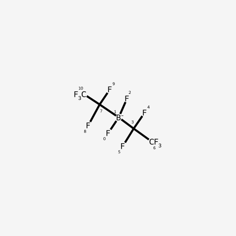 F[B-](F)(C(F)(F)C(F)(F)F)C(F)(F)C(F)(F)F